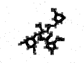 CCc1cccc(CNC[C@H](O)[C@H](Cc2cc(F)cc(F)c2)NC(=O)c2c[nH]cc2OC)c1